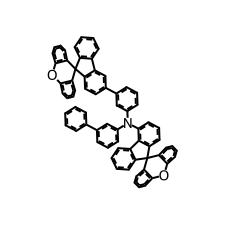 c1ccc(-c2cccc(N(c3cccc(-c4ccc5c(c4)-c4ccccc4C54c5ccccc5Oc5ccccc54)c3)c3cccc4c3-c3ccccc3C43c4ccccc4Oc4ccccc43)c2)cc1